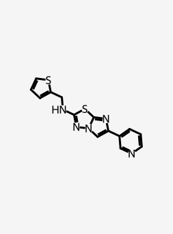 c1cncc(-c2cn3nc(NCc4cccs4)sc3n2)c1